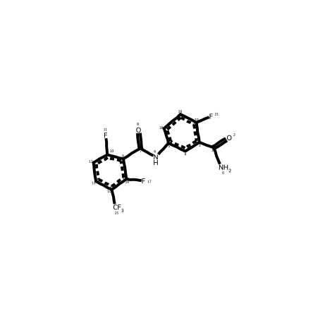 NC(=O)c1cc(NC(=O)c2c(F)ccc(C(F)(F)F)c2F)ccc1F